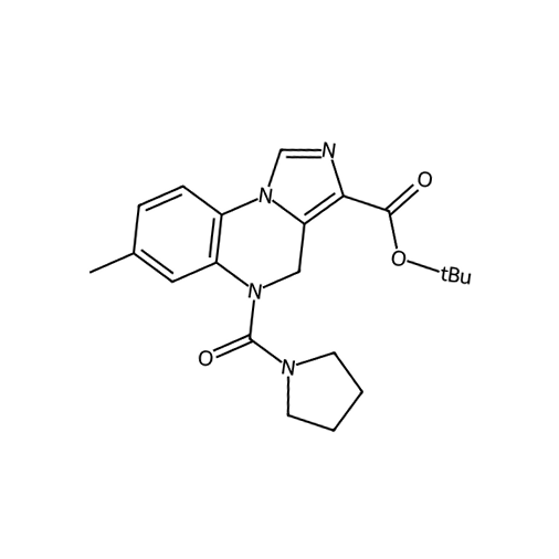 Cc1ccc2c(c1)N(C(=O)N1CCCC1)Cc1c(C(=O)OC(C)(C)C)ncn1-2